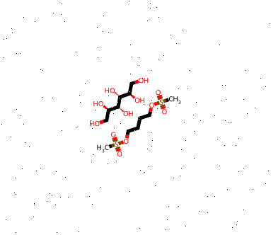 CS(=O)(=O)OCCCCOS(C)(=O)=O.OC[C@@H](O)[C@@H](O)[C@H](O)[C@H](O)CO